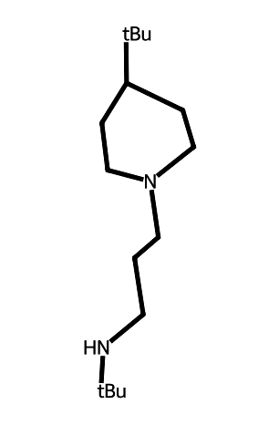 CC(C)(C)NCCCN1CCC(C(C)(C)C)CC1